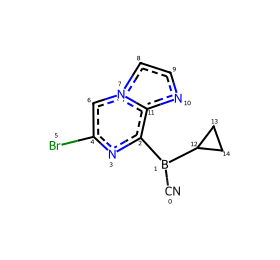 N#CB(c1nc(Br)cn2ccnc12)C1CC1